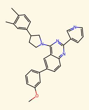 COc1cccc(-c2ccc3nc(-c4cccnc4)nc(N4CCC(c5ccc(C)c(C)c5)C4)c3c2)c1